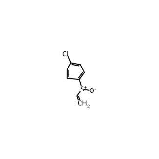 C=C[S+]([O-])c1ccc(Cl)cc1